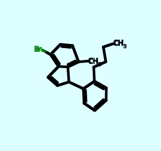 CCCCc1ccccc1C1C=Cc2c(Br)ccc(C)c21